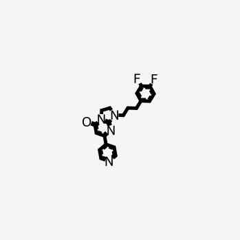 O=c1cc(-c2ccncc2)nc2n1CCN2CCCc1ccc(F)c(F)c1